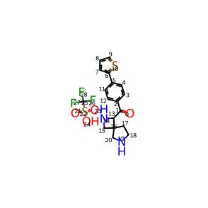 O=C(c1ccc(-c2cccs2)cc1)C1NCC12CCNC2.O=S(=O)(O)C(F)(F)F